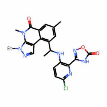 CCn1ncc2c3c(C(C)Nc4ccc(Cl)nc4-c4noc(=O)[nH]4)cc(C)cc3c(=O)n(C)c21